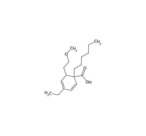 CCCCCCC1(C(=O)O)C=CC(CC)=CC1CCOC